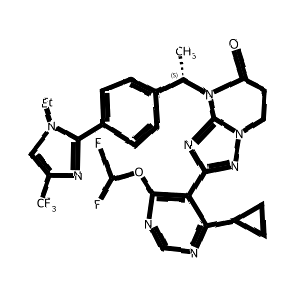 CCn1cc(C(F)(F)F)nc1-c1ccc([C@H](C)N2C(=O)CCn3nc(-c4c(OC(F)F)ncnc4C4CC4)nc32)cc1